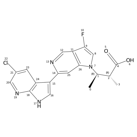 C[C@H]([C@@H](C)C(=O)O)n1cc(F)c2cnc(-c3c[nH]c4ncc(Cl)cc34)cc21